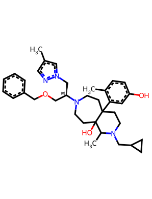 Cc1cnn(C[C@H](COCc2ccccc2)N2CCC3(c4cc(O)ccc4C)CCN(CC4CC4)C(C)C3(O)CC2)c1